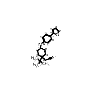 CC(C)(C)C1(CC#N)CCC(Nc2ccc(-c3ccco3)cc2)CC1